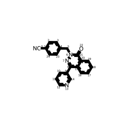 N#Cc1ccc(Cn2nc(-c3cccnc3)c3ccccc3c2=O)cc1